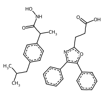 CC(C)Cc1ccc(C(C)C(=O)NO)cc1.O=C(O)CCc1nc(-c2ccccc2)c(-c2ccccc2)o1